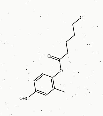 Cc1cc(C=O)ccc1OC(=O)CCCCCl